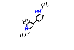 CCNc1cccc(-c2cc(CC)nc(CC)c2)c1